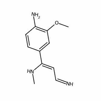 CN/C(=C\C=N)c1ccc(N)c(OC)c1